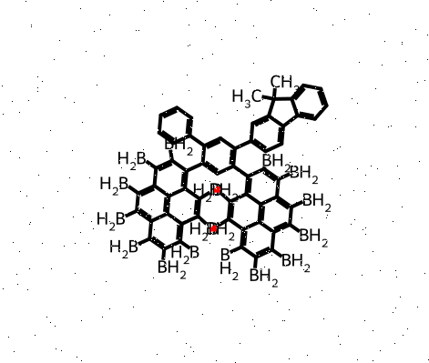 Bc1c(B)c2c(B)c(B)c3c(B)c(B)c(-c4cc(-c5c(B)c(B)c6c(B)c(B)c7c(B)c(B)c(B)c8c(B)c(B)c5c6c78)c(-c5ccc6c(c5)C(C)(C)c5ccccc5-6)cc4-c4ccccc4)c4c(B)c(B)c(c1B)c2c34